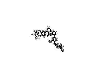 COc1nc(-c2cccc(-c3cccc(-c4ccc(CN5C(=N)NC(C)(C)C5=O)cc4)c3Cl)c2Cl)ccc1CN1CC2(CCC(=O)N2)C1